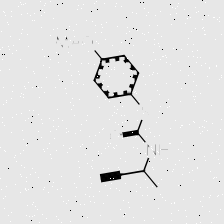 C#CC(C)NC(=O)Sc1ccc(OC)cc1